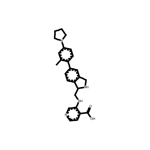 Cc1cc(N2CCCC2)ccc1-c1ccc2c(c1)CNC2CNc1cnccc1C(=O)O